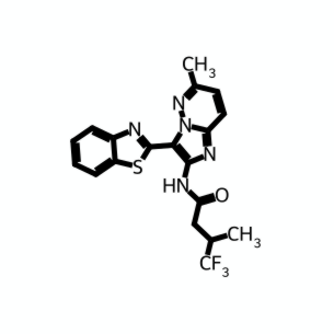 Cc1ccc2nc(NC(=O)CC(C)C(F)(F)F)c(-c3nc4ccccc4s3)n2n1